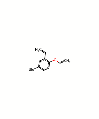 C=COc1ccc(C(C)(C)C)cc1C=C